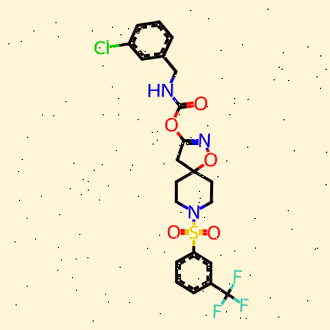 O=C(NCc1cccc(Cl)c1)OC1=NOC2(CCN(S(=O)(=O)c3cccc(C(F)(F)F)c3)CC2)C1